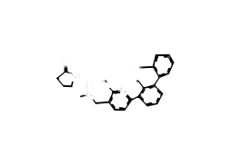 COc1nc(-c2cccc(-c3ccccc3Cl)c2Cl)ccc1CNC[C@@H]1CCC(=O)N1